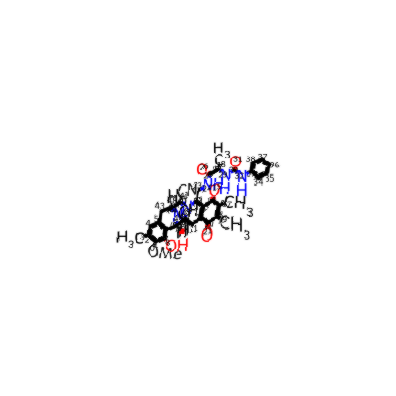 COc1c(C)cc2c(c1O)[C@H]1[C@@H]3CC4=C(C(=O)C(C)=C(C)C4=O)[C@H](CNC(=O)[C@H](C)NC(=O)Nc4ccccc4)N3[C@@H](C#N)[C@H](C2)N1C